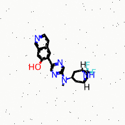 CN(c1cnc(-c2cc3ccncc3cc2O)cn1)[C@@H]1C[C@H]2CC(F)(F)[C@@H](C1)N2